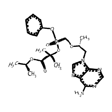 CC(C)OC(=O)C(C)(C)OP(=O)(CO[C@H](C)Cn1cnc2c(N)ncnc21)Oc1ccccc1